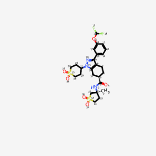 C[C@]1(NC(=O)[C@@H]2CCc3c(-c4cccc(OC(F)F)c4)nn(C4CCS(=O)(=O)CC4)c3C2)CCS(=O)(=O)C1